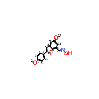 COc1ccc(-c2cc3cc(OC)cc(C=NO)c3o2)cc1